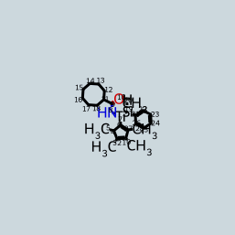 CC1=C(C)C(C)[C]([Ti]([NH]C(=O)C2CCCCCCC2)[SiH](C)c2ccccc2)=C1C